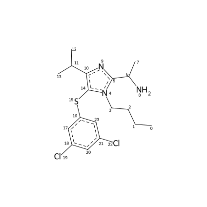 CCCCn1c(C(C)N)nc(C(C)C)c1Sc1cc(Cl)cc(Cl)c1